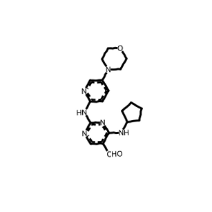 O=Cc1cnc(Nc2ccc(N3CCOCC3)cn2)nc1NC1CCCC1